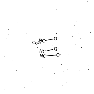 N#C[O-].N#C[O-].N#C[O-].[Co+3]